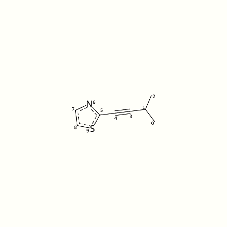 CC(C)C#Cc1nccs1